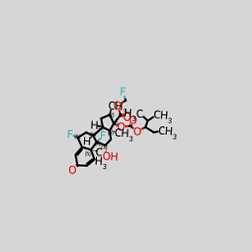 CCC(OC(=O)O[C@]1(C(=O)OCF)[C@H](C)C[C@H]2[C@@H]3C[C@H](F)C4=CC(=O)C=C[C@]4(C)[C@@]3(F)[C@@H](O)C[C@@]21C)C(C)C